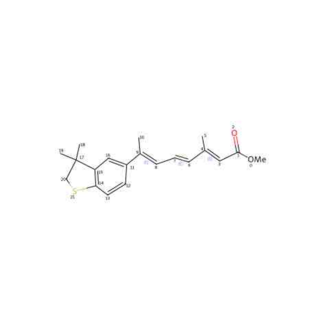 COC(=O)/C=C(C)/C=C/C=C(\C)c1ccc2c(c1)C(C)(C)CS2